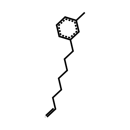 [CH]=CCCCCCCc1cccc(C)c1